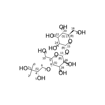 CC(C)(O)[C@@H](O)CO[C@@H]1C(CO)O[C@H](O[C@H]2O[C@H](CO)[C@@H](O)C(O)C2O)[C@@H](O)C1O